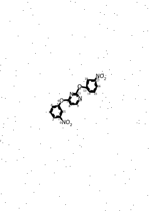 O=[N+]([O-])c1cccc(Oc2ccnc(Oc3cccc([N+](=O)[O-])c3)n2)c1